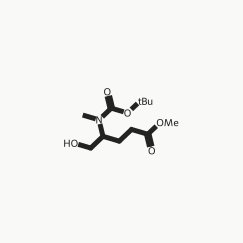 COC(=O)CCC(CO)N(C)C(=O)OC(C)(C)C